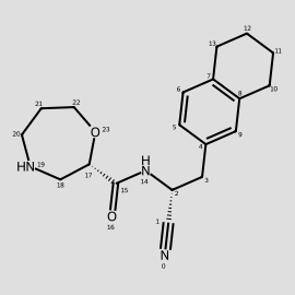 N#C[C@@H](Cc1ccc2c(c1)CCCC2)NC(=O)[C@@H]1CNCCCO1